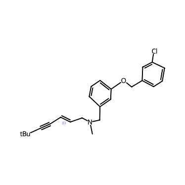 CN(C/C=C/C#CC(C)(C)C)Cc1cccc(OCc2cccc(Cl)c2)c1